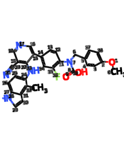 COc1ccc(CN(C(=O)O)c2ccc(-c3cncc(C#N)c3Nc3ccc4[nH]ccc4c3C)cc2F)cc1